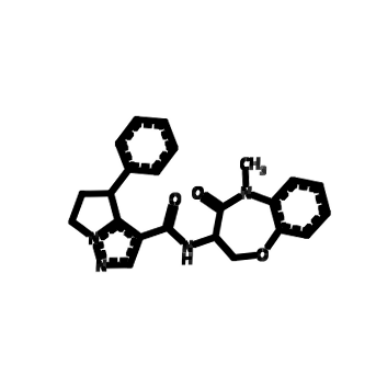 CN1C(=O)C(NC(=O)c2cnn3c2C(c2ccccc2)CC3)COc2ccccc21